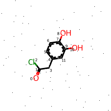 O=C(Cl)Cc1ccc(O)c(O)c1